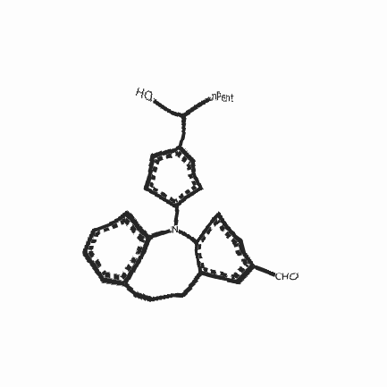 CCCCCC(O)c1ccc(N2c3ccccc3CCc3cc(C=O)ccc32)cc1